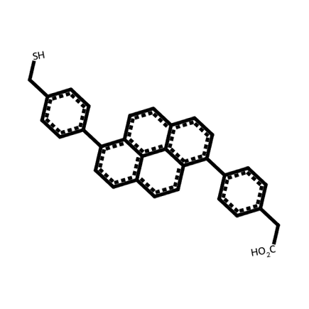 O=C(O)Cc1ccc(-c2ccc3ccc4c(-c5ccc(CS)cc5)ccc5ccc2c3c54)cc1